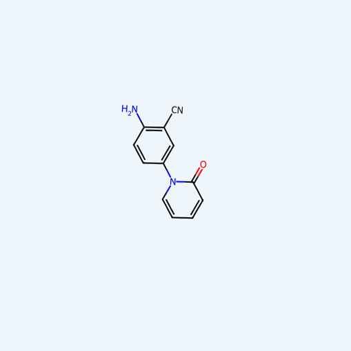 N#Cc1cc(-n2ccccc2=O)ccc1N